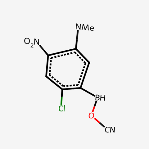 CNc1cc(BOC#N)c(Cl)cc1[N+](=O)[O-]